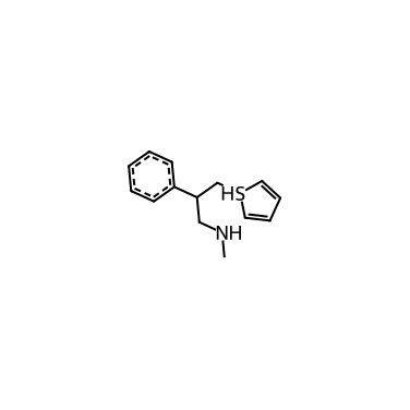 CNCC(C[SH]1C=CC=C1)c1ccccc1